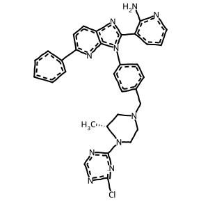 C[C@@H]1CN(Cc2ccc(-n3c(-c4cccnc4N)nc4ccc(-c5ccccc5)nc43)cc2)CCN1c1ncnc(Cl)n1